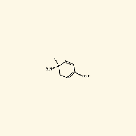 O=C(O)C1=CCC(F)([N+](=O)[O-])C=C1